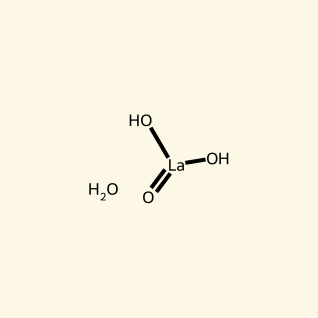 O.[O]=[La]([OH])[OH]